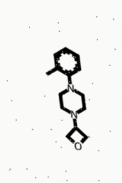 Cc1ccccc1N1CCN(C2COC2)CC1